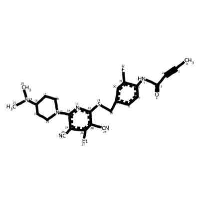 CC#CC(=O)Nc1ccc(CSc2nc(N3CCC(N(C)C)CC3)c(C#N)c(CC)c2C#N)cc1F